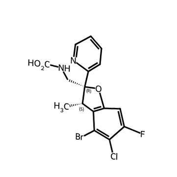 C[C@H]1c2c(cc(F)c(Cl)c2Br)O[C@]1(CNC(=O)O)c1ccccn1